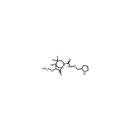 O=C(NOCC1CCCN1)[C@@H]1CC(F)(F)[C@@H]2CN1C(=O)N2OS(=O)(=O)O